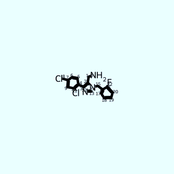 NCc1c(-c2ccc(Cl)cc2Cl)ncn1Cc1ccccc1F